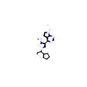 CCNc1nn(C(CC#N)C2CCCC2)cc1-c1ncnc2c1ccn2SF